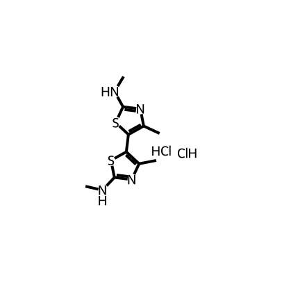 CNc1nc(C)c(-c2sc(NC)nc2C)s1.Cl.Cl